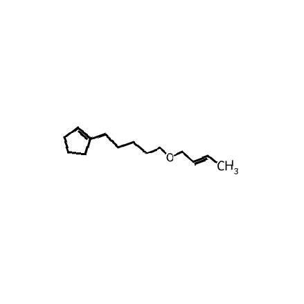 CC=CCOCCCCCC1=CCCC1